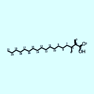 C=C(C(=O)O)C(C)CCCCCCCCCCCCCCC